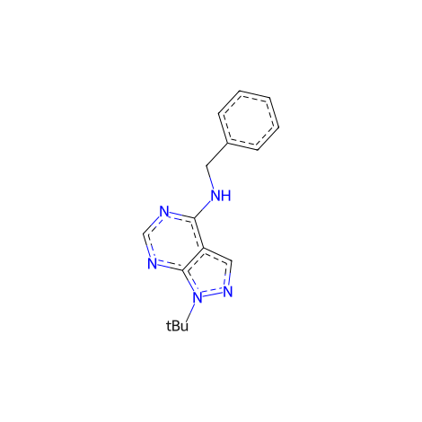 CC(C)(C)n1ncc2c(NCc3ccccc3)ncnc21